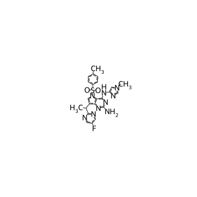 Cc1ccc(S(=O)(=O)n2cc(C(C)c3ncc(F)cn3)c3nc(N)nc(Nc4cn(C)cn4)c32)cc1